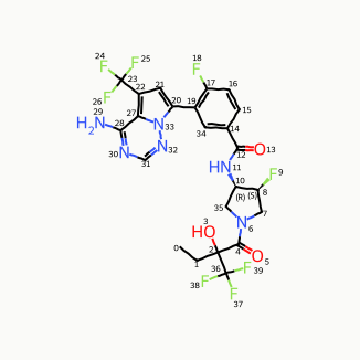 CCC(O)(C(=O)N1C[C@H](F)[C@H](NC(=O)c2ccc(F)c(-c3cc(C(F)(F)F)c4c(N)ncnn34)c2)C1)C(F)(F)F